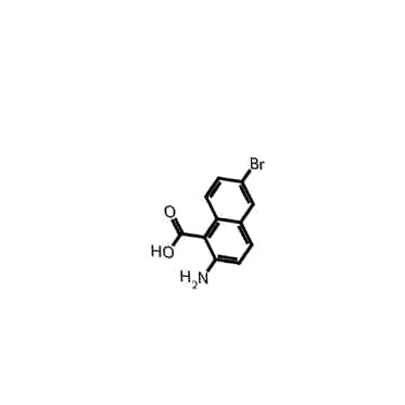 Nc1ccc2cc(Br)ccc2c1C(=O)O